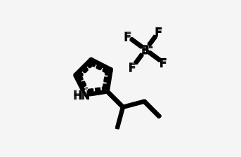 CCC(C)c1ccc[nH]1.F[B-](F)(F)F